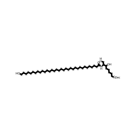 CCCCCCCCCCCCCCCC(O)C(CO)NC(=O)CCCCCCCCCCCCCCCCCCCCCCCCCCCCCCCCCO